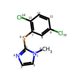 Cn1ccnc1Sc1cc(Cl)ccc1Cl